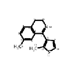 Cc1ccc2c(c1)C(c1ccsc1C)=NCC2